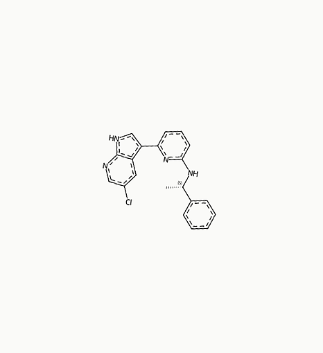 C[C@H](Nc1cccc(-c2c[nH]c3ncc(Cl)cc23)n1)c1ccccc1